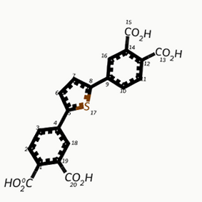 O=C(O)c1ccc(-c2ccc(-c3ccc(C(=O)O)c(C(=O)O)c3)s2)cc1C(=O)O